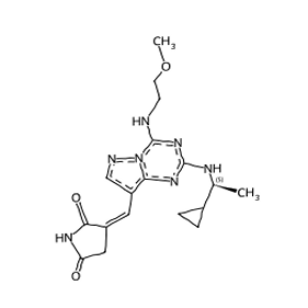 COCCNc1nc(N[C@@H](C)C2CC2)nc2c(C=C3CC(=O)NC3=O)cnn12